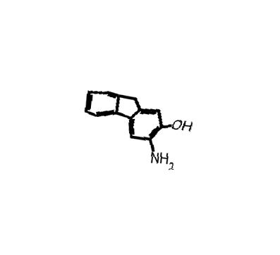 Nc1cc2c(cc1O)Cc1ccccc1-2